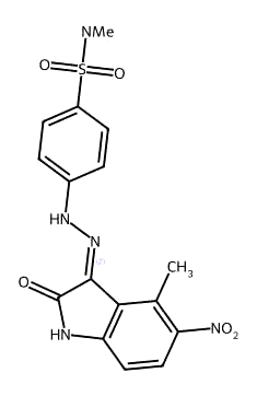 CNS(=O)(=O)c1ccc(N/N=C2\C(=O)Nc3ccc([N+](=O)[O-])c(C)c32)cc1